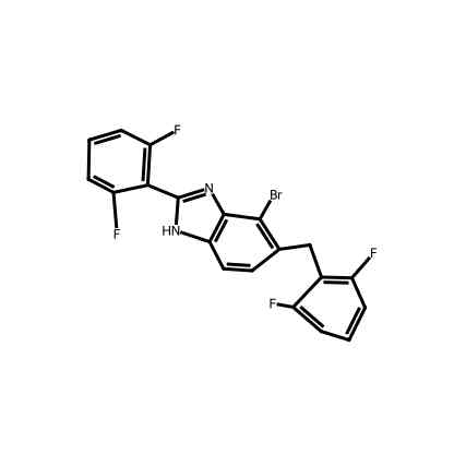 Fc1cccc(F)c1Cc1ccc2[nH]c(-c3c(F)cccc3F)nc2c1Br